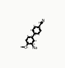 COc1ccc(-c2ccc(C#N)cc2)c[c]1[Na]